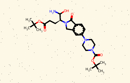 CC(C)(C)OC(=O)CC[C@@H](C(N)O)N1Cc2cc(N3CCN(C(=O)OC(C)(C)C)CC3)ccc2C1=O